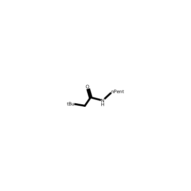 CCCCCNC(=O)CC(C)(C)C